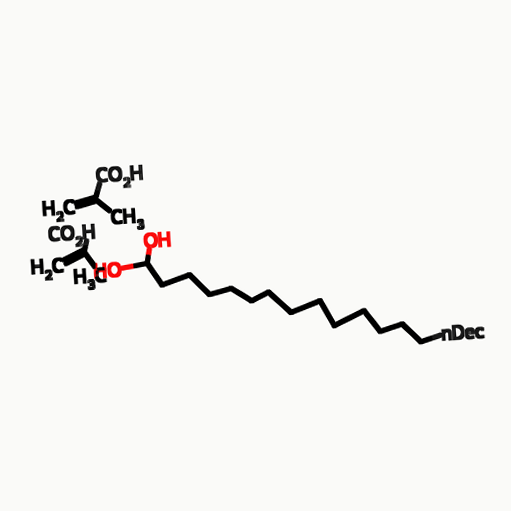 C=C(C)C(=O)O.C=C(C)C(=O)O.CCCCCCCCCCCCCCCCCCCCCCCC(O)O